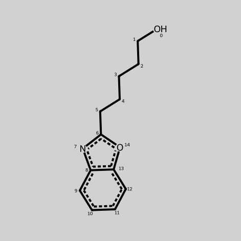 OCCCCCc1nc2ccccc2o1